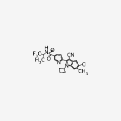 Cc1cc2c(cc1Cl)c(C#N)c(-c1ccc(S(=O)(=O)N[C@@H](C)C(F)(F)F)cn1)n2C1CCC1